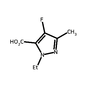 CCn1nc(C)c(F)c1C(=O)O